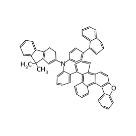 CC1(C)C2=C(CCC(N(c3ccc(-c4cccc5ccccc45)cc3)c3ccccc3-c3cccc4c5ccc6oc7ccccc7c6c5c5ccccc5c34)=C2)c2ccccc21